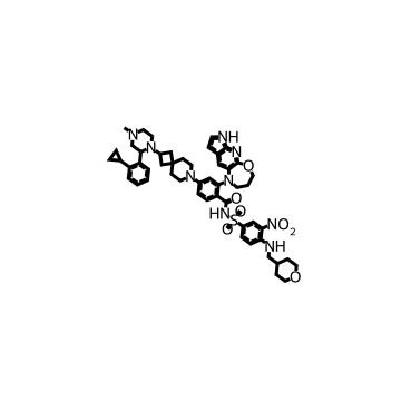 CN1CCN(C2CC3(CCN(c4ccc(C(=O)NS(=O)(=O)c5ccc(NCC6CCOCC6)c([N+](=O)[O-])c5)c(N5CCCOc6nc7[nH]ccc7cc65)c4)CC3)C2)C(c2ccccc2C2CC2)C1